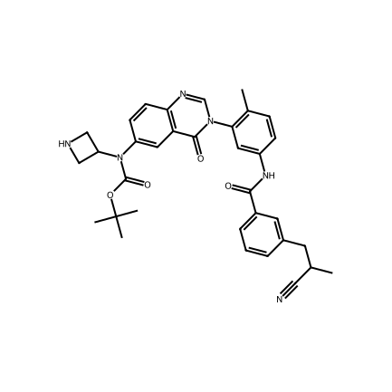 Cc1ccc(NC(=O)c2cccc(CC(C)C#N)c2)cc1-n1cnc2ccc(N(C(=O)OC(C)(C)C)C3CNC3)cc2c1=O